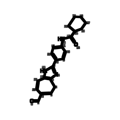 O=CC1=CCc2nc(-c3ccc(NC(=O)C4CCCCC4)cc3)[nH]c2C=C1